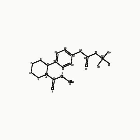 CC(C)(C)OC(=O)N1CCCCC1c1ccc(CC(=O)C[Si](C)(C)C)cc1